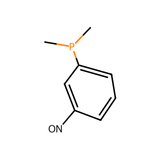 CP(C)c1cccc(N=O)c1